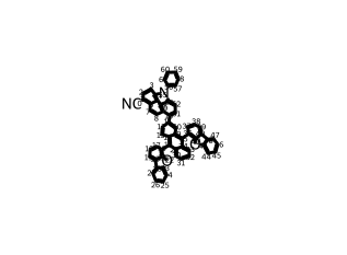 N#Cc1ccc2c3c1ccc1c(-c4ccc5c(-c6cccc7c6oc6ccccc67)c6ccccc6c(-c6cccc7c6oc6ccccc67)c5c4)ccc(c13)n2-c1ccccc1